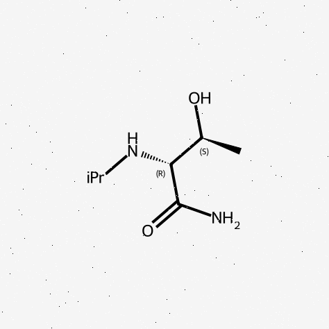 CC(C)N[C@@H](C(N)=O)[C@H](C)O